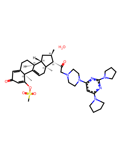 C[C@@H]1C[C@H]2[C@@H]3CCC4=CC(=O)C=C(OS(C)(=O)=O)[C@]4(C)C3=CC[C@]2(C)[C@H]1C(=O)CN1CCN(c2cc(N3CCCC3)nc(N3CCCC3)n2)CC1.O